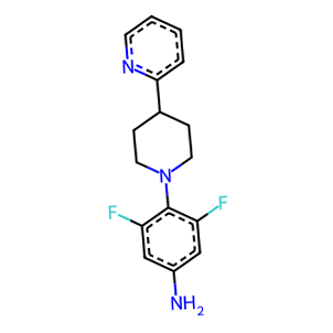 Nc1cc(F)c(N2CCC(c3ccccn3)CC2)c(F)c1